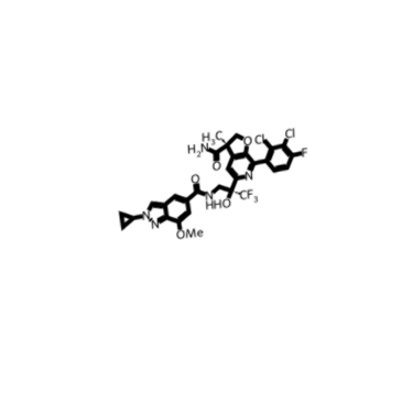 COc1cc(C(=O)NC[C@](O)(c2cc3c(c(-c4ccc(F)c(Cl)c4Cl)n2)OC[C@]3(C)C(N)=O)C(F)(F)F)cc2cn(C3CC3)nc12